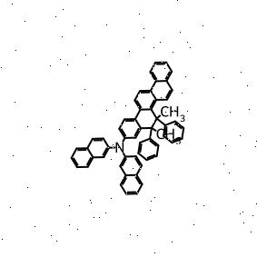 CC1(c2ccccc2)c2cc(N(c3ccc4ccccc4c3)c3ccc4ccccc4c3)ccc2-c2ccc3c(ccc4ccccc43)c2C1(C)c1ccccc1